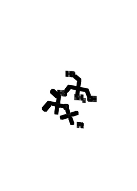 C=C[Si](C)(C=C)O[Si](C)(C)C.NC(CO)(CO)CO.[Pt]